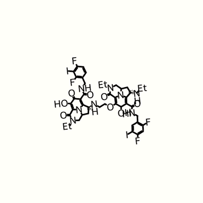 CCN[C@H]1CC2CN(CC)C(=O)C3=C(OCCN[C@H]4CC5CN(CC)C(=O)c6c(O)c(=O)c(C(=O)NCc7ccc(F)c(I)c7F)c4n65)C(O)C(C(=O)NCc4cc(I)c(F)cc4F)=C1N32